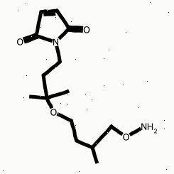 CC(CCOC(C)(C)CCN1C(=O)C=CC1=O)CON